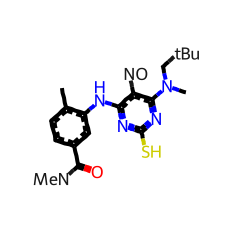 CNC(=O)c1ccc(C)c(Nc2nc(S)nc(N(C)CC(C)(C)C)c2N=O)c1